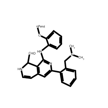 CCCCCOc1ccccc1Nc1nc(-c2ccccc2CN(C)C)cc2c1C(C=O)NC=C2